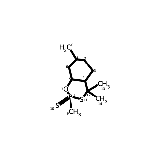 CC1CCC2C(C1)O[P@@](C)(=S)SC2(C)C